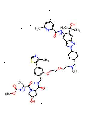 Cc1ncsc1-c1ccc(CNC(=O)C2C[C@@H](O)CN2C(=O)[C@@H](NC(=O)OC(C)(C)C)C(C)(C)C)c(OCCOCCN(C)C[C@H]2CC[C@H](n3cc4cc(NC(=O)c5cccc(C(F)(F)F)n5)c(C(C)(C)O)cc4n3)CC2)c1